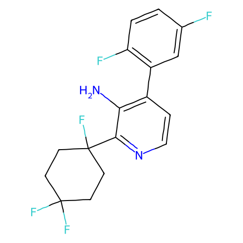 Nc1c(-c2cc(F)ccc2F)ccnc1C1(F)CCC(F)(F)CC1